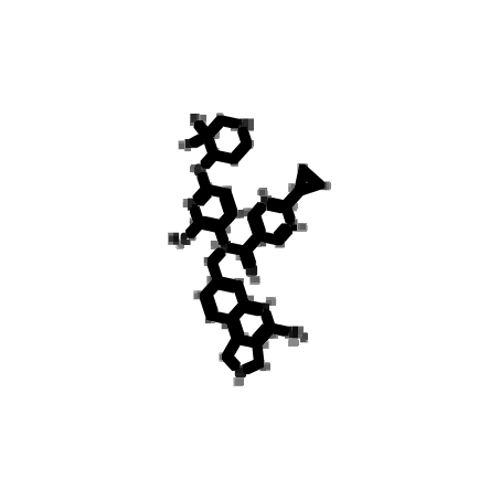 Cc1nc(OC2CCNCC2(F)F)ccc1N(Cc1ccc2c3c(c(N)nc2c1)COC3)C(=O)c1cnc(C2CC2)nc1